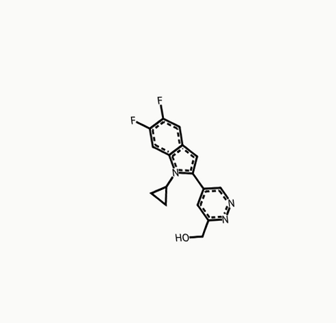 OCc1cc(-c2cc3cc(F)c(F)cc3n2C2CC2)cnn1